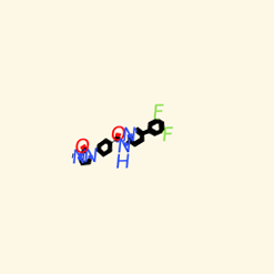 CN1CCN([C@H]2CC[C@@H](C(=O)Nc3ccc(-c4cc(F)cc(F)c4)cn3)CC2)C1=O